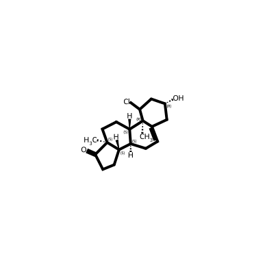 C[C@]12CC[C@H]3[C@@H](CC=C4C[C@@H](O)CC(Cl)[C@@]43C)[C@@H]1CCC2=O